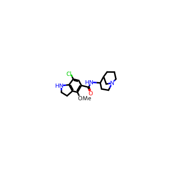 COc1c(C(=O)NC2CCN3CCCC2C3)cc(Cl)c2c1CCN2